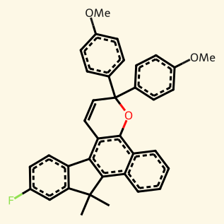 COc1ccc(C2(c3ccc(OC)cc3)C=Cc3c4c(c5ccccc5c3O2)C(C)(C)c2cc(F)ccc2-4)cc1